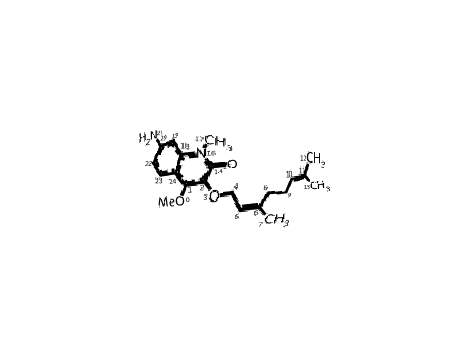 COc1c(OCC=C(C)CCC=C(C)C)c(=O)n(C)c2cc(N)ccc12